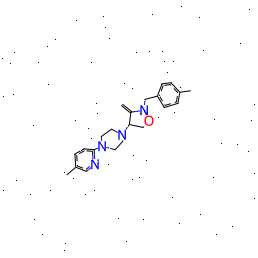 C=C1C(N2CCN(c3ccc(C)cn3)CC2)CON1Cc1ccc(C)cc1